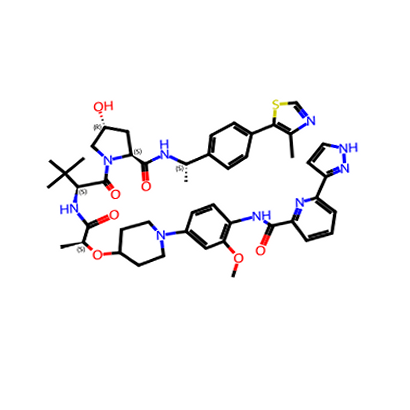 COc1cc(N2CCC(O[C@@H](C)C(=O)N[C@H](C(=O)N3C[C@H](O)C[C@H]3C(=O)N[C@@H](C)c3ccc(-c4scnc4C)cc3)C(C)(C)C)CC2)ccc1NC(=O)c1cccc(-c2cc[nH]n2)n1